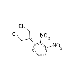 O=[N+]([O-])c1cccc([C](CCl)CCl)c1[N+](=O)[O-]